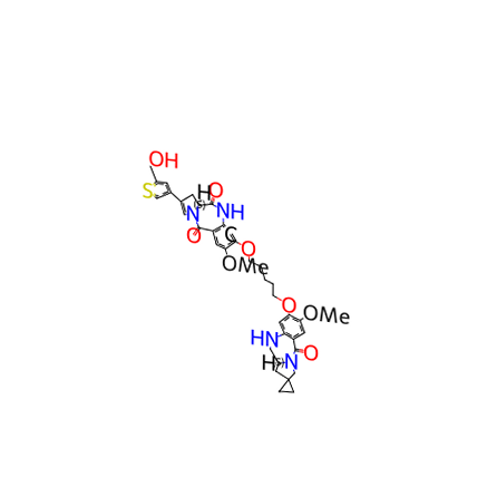 COc1cc2c(cc1OCCCCCOc1cc3c(cc1OC)C(=O)N1CC4(CC4)C[C@H]1CN3)NC(=O)[C@@H]1CC(c3csc(CO)c3)=CN1C2=O